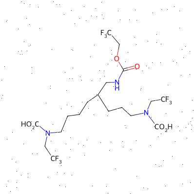 O=C(NCC(CCCCN(CC(F)(F)F)C(=O)O)CCCN(CC(F)(F)F)C(=O)O)OCC(F)(F)F